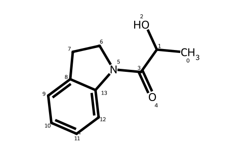 CC(O)C(=O)N1CCc2cc[c]cc21